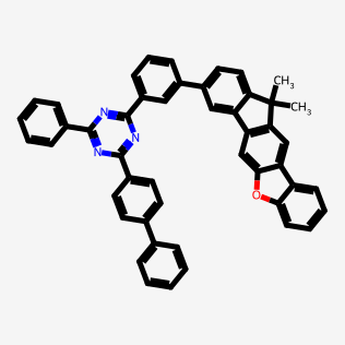 CC1(C)c2ccc(-c3cccc(-c4nc(-c5ccccc5)nc(-c5ccc(-c6ccccc6)cc5)n4)c3)cc2-c2cc3oc4ccccc4c3cc21